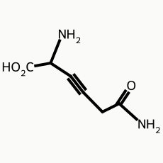 NC(=O)CC#CC(N)C(=O)O